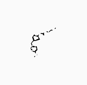 CNc1ccc(Cc2ccc(NC(=O)OCCOC)cc2)cc1